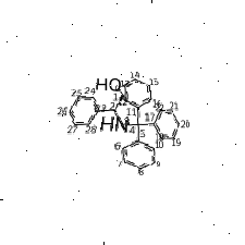 OC[C@@H](NC(c1ccccc1)(c1ccccc1)c1ccccc1)c1ccccc1